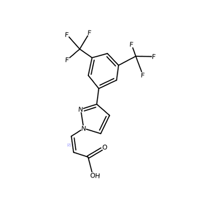 O=C(O)/C=C\n1ccc(-c2cc(C(F)(F)F)cc(C(F)(F)F)c2)n1